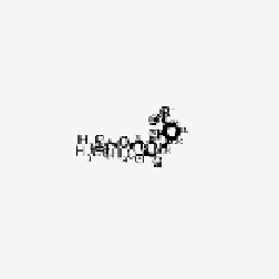 C=C1N(CC(=O)OCC[Si](C)(C)C)C(=O)C(=O)N1Cc1cccc([N+](=O)[O-])c1